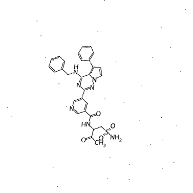 CC(=O)C(CS(N)(=O)=O)NC(=O)c1cncc(-c2nc(NCc3ccccc3)c3c(-c4ccccc4)ccn3n2)c1